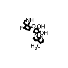 Cc1ccnc2c1ccn2C1CC(Oc2ccc(F)c3c2CNCC3)[C@@H](O)[C@H]1O